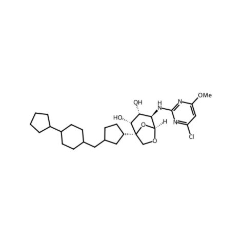 COc1cc(Cl)nc(N[C@H]2[C@H]3OC[C@](C4CCC(CC5CCC(C6CCCC6)CC5)C4)(O3)[C@H](O)[C@@H]2O)n1